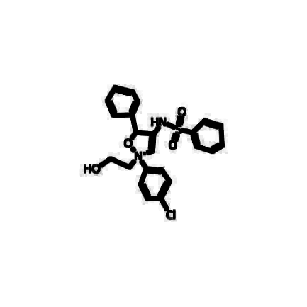 O=S(=O)(NC1=C[N+](CCO)(c2ccc(Cl)cc2)OC1c1ccccc1)c1ccccc1